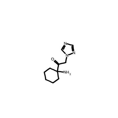 NC1(C(=O)Cn2cncn2)CCCCC1